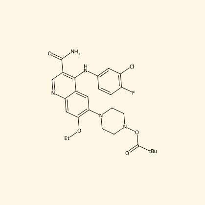 CCOc1cc2ncc(C(N)=O)c(Nc3ccc(F)c(Cl)c3)c2cc1N1CCN(OC(=O)C(C)(C)C)CC1